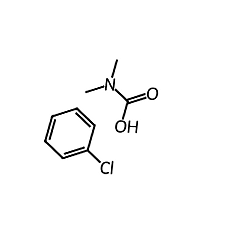 CN(C)C(=O)O.Clc1ccccc1